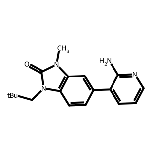 Cn1c(=O)n(CC(C)(C)C)c2ccc(-c3cccnc3N)cc21